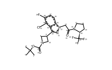 CC(C)(C)OC(=O)N1CC(c2nn(CC(=O)N3CCC[C@H]3C(F)(F)F)c3ccc(F)c(Cl)c23)C1